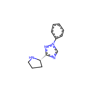 c1ccc(-n2cnc([C@@H]3CCCN3)n2)cc1